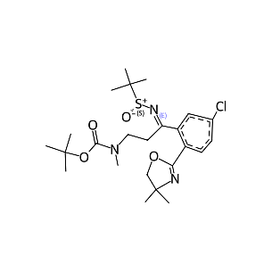 CN(CC/C(=N\[S@+]([O-])C(C)(C)C)c1cc(Cl)ccc1C1=NC(C)(C)CO1)C(=O)OC(C)(C)C